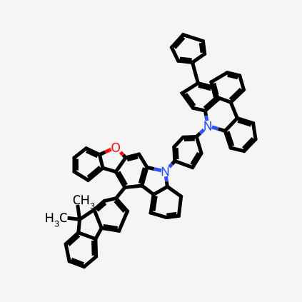 CC1(C)c2ccccc2-c2ccc(-c3c4c(cc5oc6ccccc6c35)N(c3ccc(N(c5ccc(-c6ccccc6)cc5)c5ccccc5-c5ccccc5)cc3)C3CC=CC=C43)cc21